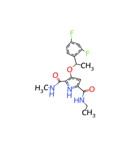 CCNC(=O)c1cc(OC(C)c2ccc(F)cc2F)c(C(=O)NC)[nH]1